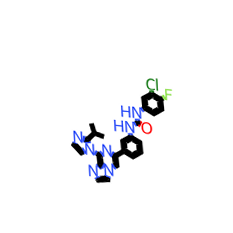 CC(C)c1nccn1-c1nc(-c2cccc(NC(=O)Nc3ccc(F)c(Cl)c3)c2)cn2ccnc12